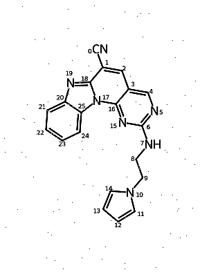 N#Cc1cc2cnc(NCCn3cccc3)nc2n2c1nc1ccccc12